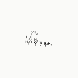 O.O.O.[BaH2].[SrH2].[Ti]